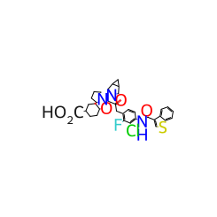 O=C(Nc1ccc(CC(=O)C(OC2CCC(C(=O)O)CC2)(N2CCCC2)N2CC3CC3C2)c(F)c1Cl)c1csc2ccccc12